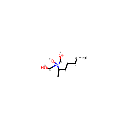 CCCCCCCCCCC(C)[N+]([O-])(CO)CO